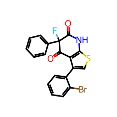 O=C1Nc2scc(-c3ccccc3Br)c2C(=O)C1(F)c1ccccc1